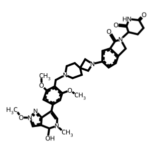 COc1cc(C2=CN(C)C(O)c3cn(OC)nc32)cc(OC)c1CN1CCC2(CC1)CN(c1ccc3c(c1)C(=O)N(C1CCC(=O)NC1=O)C3)C2